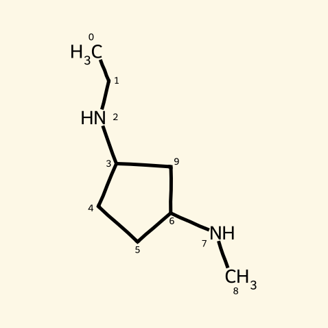 CCNC1CCC(NC)C1